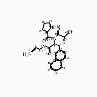 C=CCNC(=O)[C@H](Cc1ccc2ccccc2c1)N(C(=O)C(CC)CC)C(=O)C1CCCN1